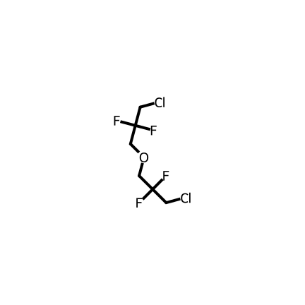 FC(F)(CCl)COCC(F)(F)CCl